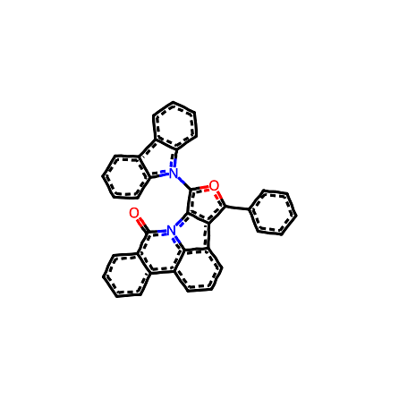 O=c1c2ccccc2c2cccc3c4c(-c5ccccc5)oc(-n5c6ccccc6c6ccccc65)c4n1c23